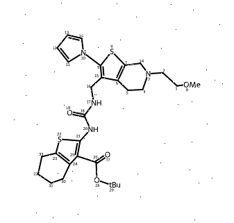 COCCN1CCc2c(sc(-n3cccc3)c2CNC(=O)Nc2sc3c(c2C(=O)OC(C)(C)C)CCCC3)C1